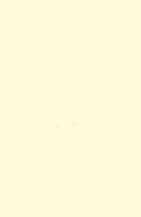 COc1ccc(Cc2cc(C)nn(C(C(=O)O)c3ccc(OC)cc3)c2=O)cc1